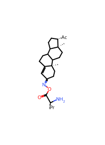 CC(=O)[C@H]1CCC2C3CCC4=C/C(=N/OC(=O)[C@@H](N)C(C)C)CC[C@]4(C)C3CC[C@@]21C